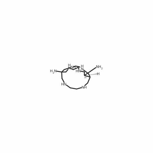 N[C@@H]1CNCCNCC2(N)CNCCNCC1CNCCNC2